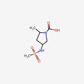 CC1CC(NS(C)(=O)=O)CN1C(=O)O